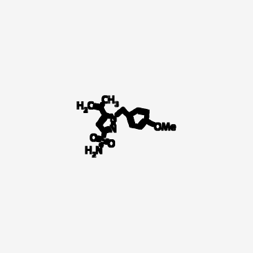 C=C(C)c1cc(S(N)(=O)=O)nn1Cc1ccc(OC)cc1